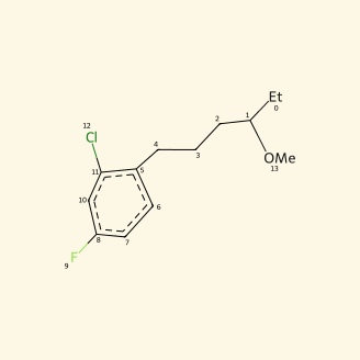 CCC(CCCc1ccc(F)cc1Cl)OC